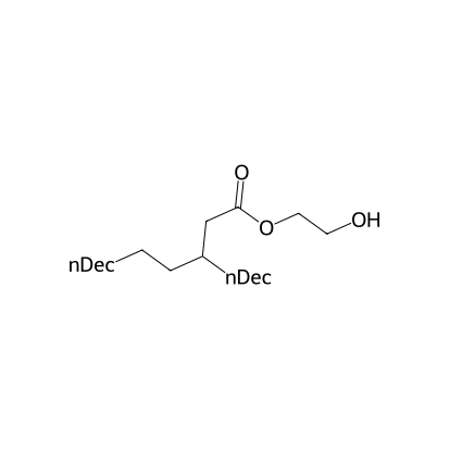 CCCCCCCCCCCCC(CCCCCCCCCC)CC(=O)OCCO